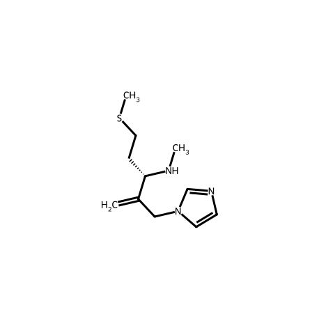 C=C(Cn1ccnc1)[C@H](CCSC)NC